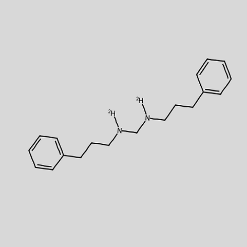 [2H]N(CCCc1ccccc1)CN([2H])CCCc1ccccc1